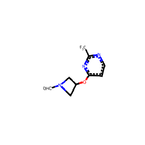 O=CN1CC(Oc2ccnc(C(F)(F)F)n2)C1